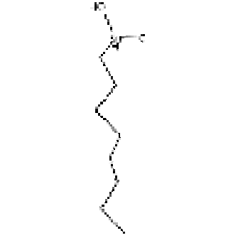 CCCCCCC[CH2][SnH]([OH])[Cl]